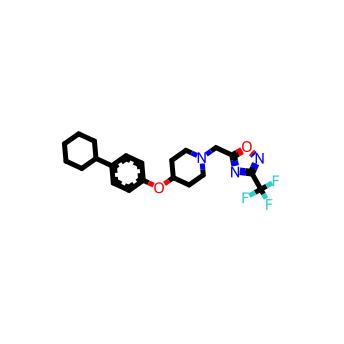 FC(F)(F)c1noc(CN2CCC(Oc3ccc(C4CCCCC4)cc3)CC2)n1